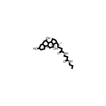 CCCNC(=O)CCNC(=O)CC[C@@H](C)C1CCC2C3C(O)CC4CC(O)CC[C@]4(C)C3CC(O)[C@@]21C